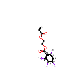 C=CC(=O)OCCOC(=O)c1c(I)cc(I)c(I)c1I